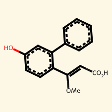 COC(=CC(=O)O)c1ccc(O)cc1-c1ccccc1